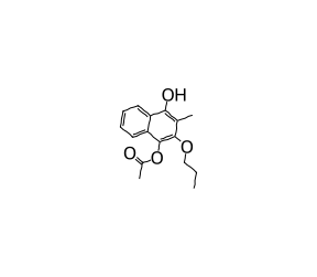 CCCOc1c(C)c(O)c2ccccc2c1OC(C)=O